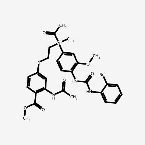 COC(=O)c1ccc(NCC[N+](C)(C(C)=O)c2ccc(NC(=O)Nc3ccccc3Br)c(OC)c2)cc1NC(C)=O